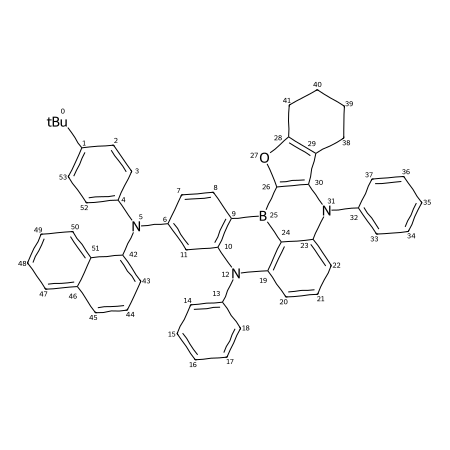 CC(C)(C)c1ccc(N(c2ccc3c(c2)N(c2ccccc2)c2cccc4c2B3c2oc3c(c2N4c2ccccc2)CCCC3)c2cccc3ccccc23)cc1